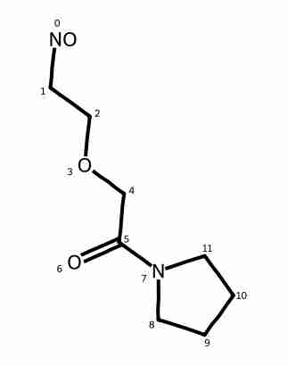 O=NCCOCC(=O)N1CCCC1